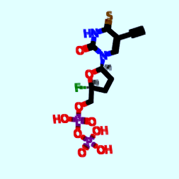 C#Cc1cn([C@H]2CC[C@@](F)(COP(=O)(O)OP(=O)(O)O)O2)c(=O)[nH]c1=S